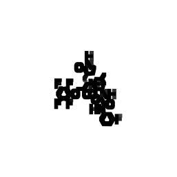 CC(C)C[C@H](NC(=O)C(=O)Nc1cccc(F)c1)C(=O)N[C@@H](C[C@@H]1CCNC1=O)C(=O)COc1c(F)c(F)cc(F)c1F